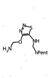 CCCCCCNc1snnc1OCN